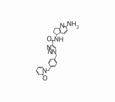 Nc1ccc2c(n1)CCC2NC(=O)c1cn(Cc2ccc(Cn3ccccc3=O)cc2)nn1